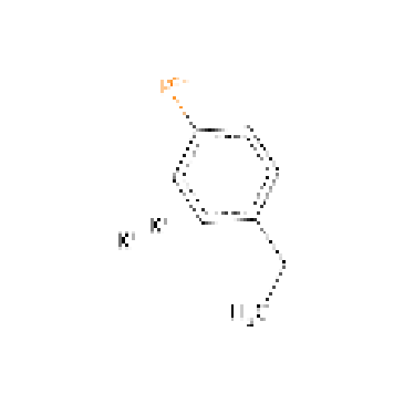 CCc1ccc([P-2])cc1.[K+].[K+]